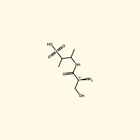 CC(NC(=O)[C@@H](N)CO)C(C)S(=O)(=O)O